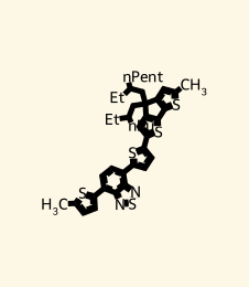 CCCCCC(CC)CC1(CC(CC)CCCC)c2cc(C)sc2-c2sc(-c3ccc(-c4ccc(-c5ccc(C)s5)c5nsnc45)s3)cc21